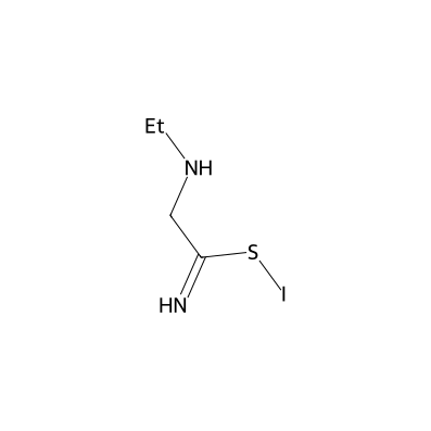 CCNCC(=N)SI